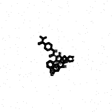 CN(C)C(=O)C1CCC(NC(=O)[C@@H]2NC3(CC(CF)(CF)C3)[C@@]3(C(=O)Nc4cc(Cl)ccc43)[C@H]2c2cccc(Cl)c2F)CC1